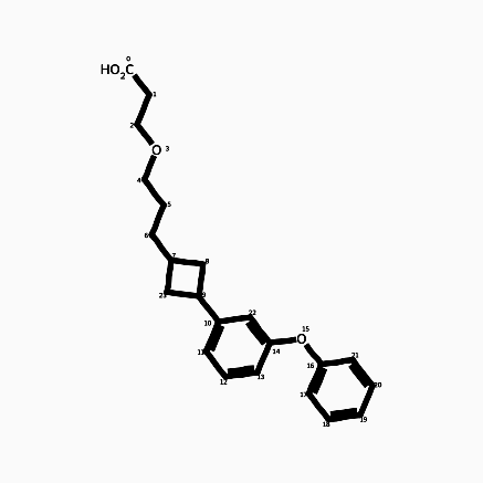 O=C(O)CCOCCCC1CC(c2cccc(Oc3ccccc3)c2)C1